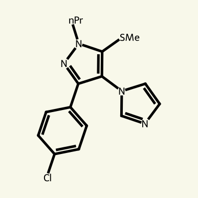 CCCn1nc(-c2ccc(Cl)cc2)c(-n2ccnc2)c1SC